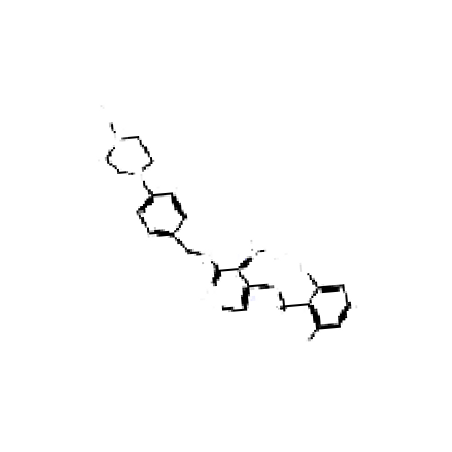 C/C=C(NC(=O)c1c(F)cccc1F)\C(=N/C)C(=O)NCc1ccc(N2CCN(C)CC2)cc1